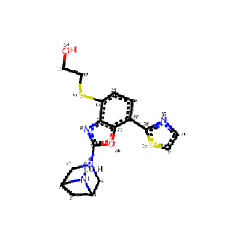 O=C(O)N1C2CC1CN(c1nc3c(SCCO)ccc(-c4nccs4)c3o1)C2